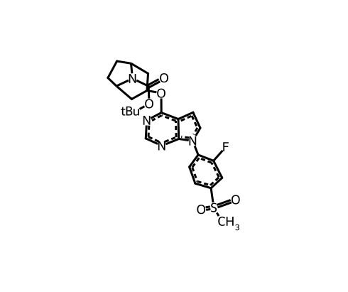 CC(C)(C)OC(=O)N1C2CCC1CC(Oc1ncnc3c1ccn3-c1ccc(S(C)(=O)=O)cc1F)C2